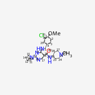 COc1ccc(CNc2nc(N3CC4C5C4C53)ncc2C(=O)NC2CCN(C)CC2)cc1Cl